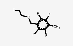 Cc1c(F)c(F)c(COCCF)c(F)c1F